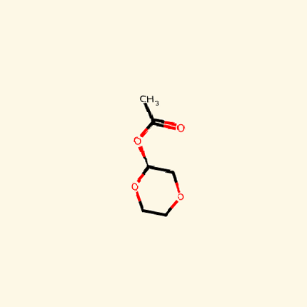 CC(=O)O[C@H]1COCCO1